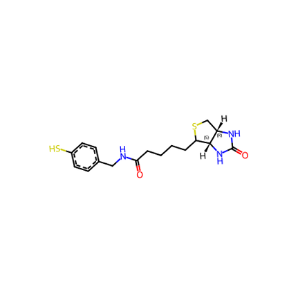 O=C(CCCCC1SC[C@@H]2NC(=O)N[C@H]12)NCc1ccc(S)cc1